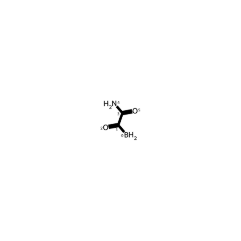 BC(=O)C(N)=O